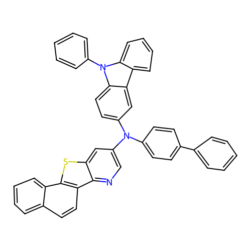 c1ccc(-c2ccc(N(c3cnc4c(c3)sc3c5ccccc5ccc43)c3ccc4c(c3)c3ccccc3n4-c3ccccc3)cc2)cc1